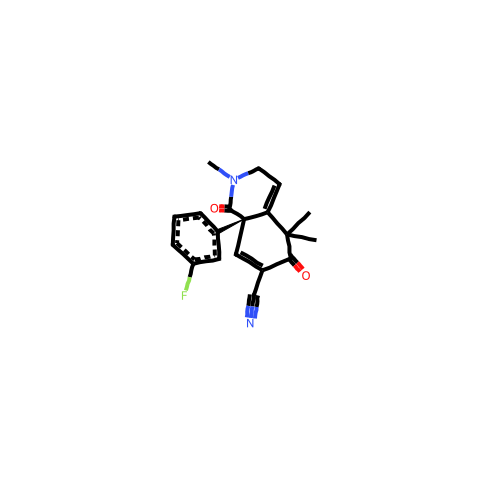 CN1CC=C2C(C)(C)C(=O)C(C#N)=C[C@]2(c2cccc(F)c2)C1=O